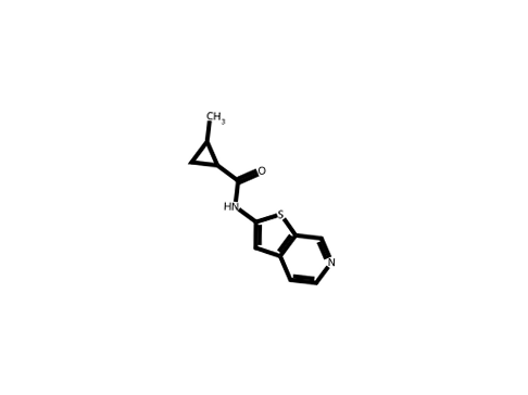 CC1CC1C(=O)Nc1cc2ccncc2s1